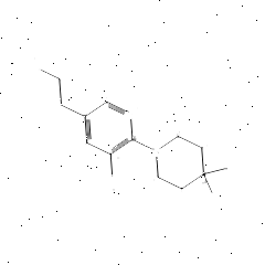 OCCc1cnc(N2CCC(F)(F)CC2)c(F)c1